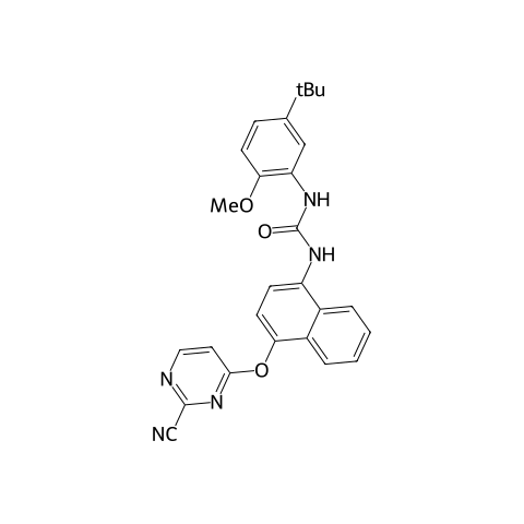 COc1ccc(C(C)(C)C)cc1NC(=O)Nc1ccc(Oc2ccnc(C#N)n2)c2ccccc12